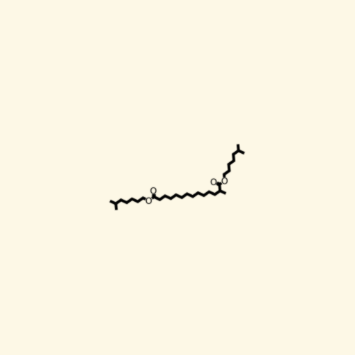 CC(C)CCCCCOC(=O)CCCCCCCCCCCC(C)C(=O)OCCCCCC(C)C